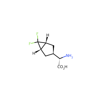 N[C@H](C(=O)O)[C@@H]1C[C@@H]2[C@H](C1)C2(F)F